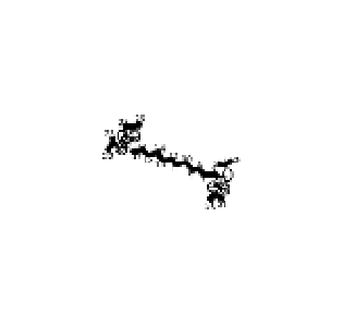 CC(C)OP(=O)(CCCCCCCCCCCCP(=O)(OC(C)C)OC(C)C)OC(C)C